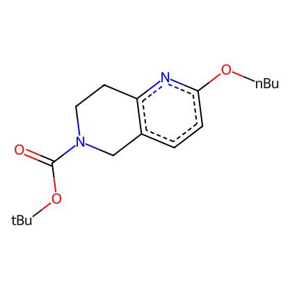 CCCCOc1ccc2c(n1)CCN(C(=O)OC(C)(C)C)C2